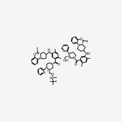 Cc1cc(C)c(C(=O)N2CCN(c3ccccn3)[C@H](CO)C2)cc1NC1CCN(c2ccccc2OC(F)F)CC1.Cc1cc(C)c(C(=O)N2CCN(c3ccccn3)[C@H](CO[Si](C)(C)C(C)(C)C)C2)cc1NC1CCN(c2ccccc2OC(F)F)CC1